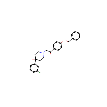 OC(CN1CCC(O)(c2cccc(F)c2)CC1)c1ccc(OCc2ccccc2)cc1